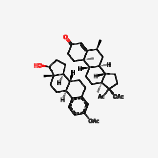 CC(=O)O[C@]1(C(C)=O)CC[C@H]2[C@@H]3C[C@H](C)C4=CC(=O)CC[C@]4(C)[C@H]3CC[C@@]21C.CC(=O)Oc1ccc2c(c1)CC[C@@H]1[C@@H]2CC[C@]2(C)[C@@H](O)CC[C@@H]12